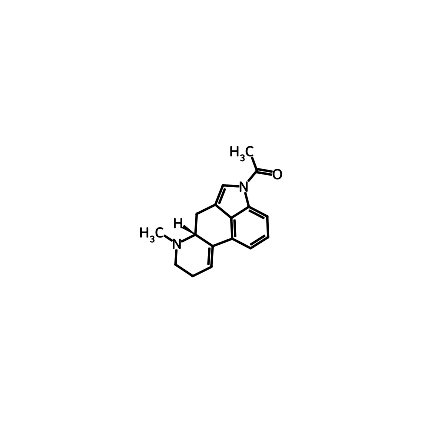 CC(=O)n1cc2c3c(cccc31)C1=CCCN(C)[C@@H]1C2